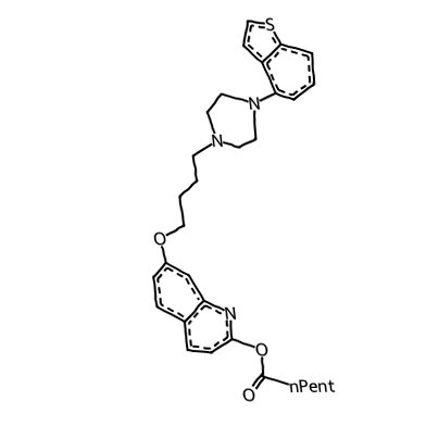 CCCCCC(=O)Oc1ccc2ccc(OCCCCN3CCN(c4cccc5sccc45)CC3)cc2n1